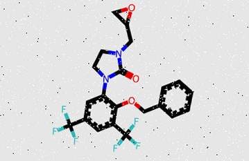 O=C1N(CC2CO2)CCN1c1cc(C(F)(F)F)cc(C(F)(F)F)c1OCc1ccccc1